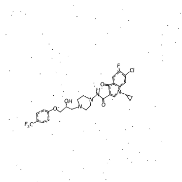 O=C(NN1CCN(C[C@H](O)COc2ccc(C(F)(F)F)cc2)CC1)c1cn(C2CC2)c2cc(Cl)c(F)cc2c1=O